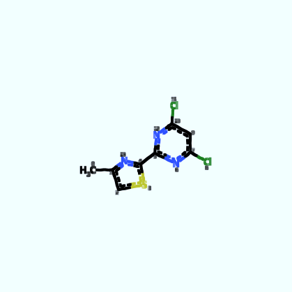 Cc1csc(-c2nc(Cl)cc(Cl)n2)n1